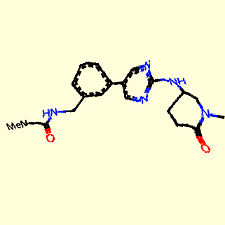 CNC(=O)NCc1cccc(-c2cnc(NC3CCC(=O)N(C)C3)nc2)c1